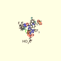 CC(C)(CCc1ccc(-c2ccc(Cl)c3c(N(C(=O)OCCCC(=O)O)S(C)(=O)=O)nn(CC(F)(F)F)c23)c([C@H](Cc2cc(F)cc(F)c2)NC(=O)Cn2nc(C(F)(F)F)c3c2C(F)(F)[C@@H]2C[C@H]32)n1)S(C)(=O)=O